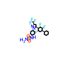 NS(=O)(=O)Nc1ccc(-n2nc(C(F)(F)F)cc2-c2c(F)cc(-c3ccccc3)c(F)c2F)cc1